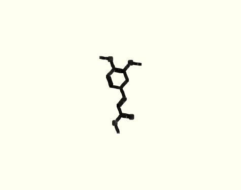 COC(=O)C=CC1C=CC(OC)=C(OC)C1